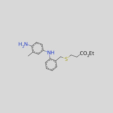 CCOC(=O)CCSCc1ccccc1Nc1ccc(N)c(C)c1